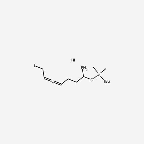 CC(C)(C)[Si](C)(C)OC(P)CCC=C=CCI.I